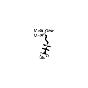 CO[Si](CCC[N+](C)(C)C(C)(C)C(=O)OC(C)(C)C)(OC)OC